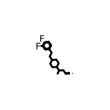 [CH]=CCC(C)C1CCC(CCc2ccc(F)c(F)c2)CC1